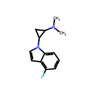 CN(C)C1CC1n1ccc2c(F)cccc21